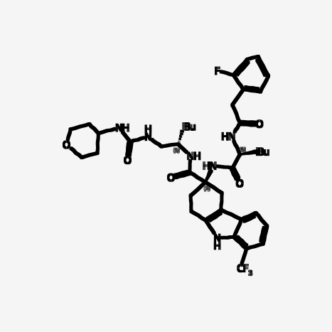 CCC(C)[C@H](NC(=O)Cc1ccccc1F)C(=O)N[C@]1(C(=O)N[C@H](CNC(=O)NC2CCOCC2)C(C)CC)CCc2[nH]c3c(C(F)(F)F)cccc3c2C1